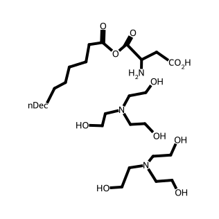 CCCCCCCCCCCCCCCC(=O)OC(=O)C(N)CC(=O)O.OCCN(CCO)CCO.OCCN(CCO)CCO